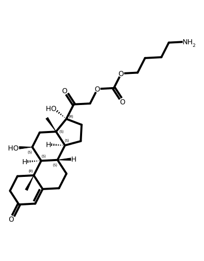 C[C@]12CCC(=O)C=C1CC[C@@H]1[C@@H]2[C@@H](O)C[C@@]2(C)[C@H]1CC[C@]2(O)C(=O)COC(=O)OCCCCN